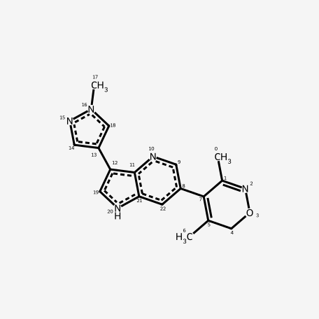 CC1=NOCC(C)=C1c1cnc2c(-c3cnn(C)c3)c[nH]c2c1